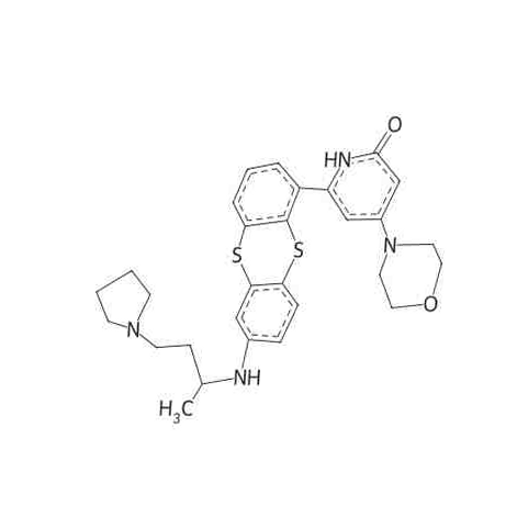 CC(CCN1CCCC1)Nc1ccc2c(c1)Sc1cccc(-c3cc(N4CCOCC4)cc(=O)[nH]3)c1S2